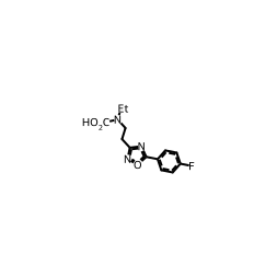 CCN(CCc1noc(-c2ccc(F)cc2)n1)C(=O)O